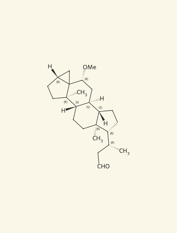 CO[C@@H]1C[C@H]2[C@@H]3CC[C@H]([C@H](C)CC=O)[C@@]3(C)CC[C@@H]2[C@@]2(C)CC[C@@H]3CC312